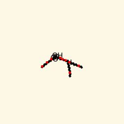 CCCCCCCCCCCOP(=O)(O)OCCCCCCCCN(CCCCCCCCCC)CCCCCCCCCC